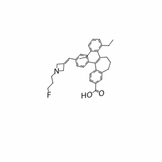 CCc1cccc(CC)c1C1=C(c2ccc(C=C3CN(CCCF)C3)cc2)c2ccc(C(=O)O)cc2CCC1